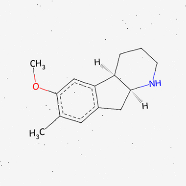 COc1cc2c(cc1C)C[C@@H]1NCCC[C@H]21